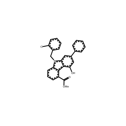 COC(=O)c1cccc2c1c1c(O)cc(-c3ccccc3)cc1n2Cc1ccccc1Cl